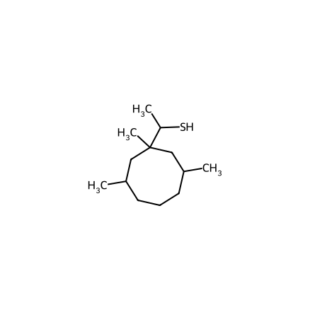 CC1CCCC(C)CC(C)(C(C)S)C1